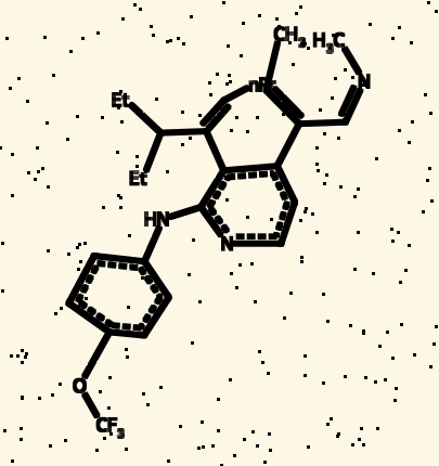 C/C=C(\C=N/C)c1ccnc(Nc2ccc(OC(F)(F)F)cc2)c1/C(=C\CCC)C(CC)CC